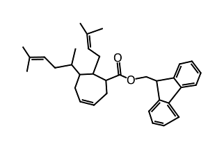 CC(C)=CCC(C)C1CC=CCC(C(=O)OCC2c3ccccc3-c3ccccc32)C1CC=C(C)C